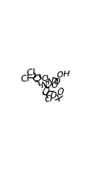 CC(C)(C)C(=O)OCc1c(Cl)ccc2c1c(=O)n(CC(=O)O)c(=O)n2Cc1ccc(Cl)c(Cl)c1